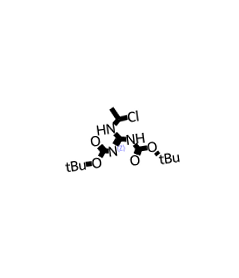 CC(Cl)N/C(=N\C(=O)OC(C)(C)C)NC(=O)OC(C)(C)C